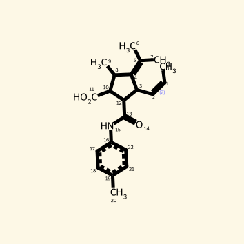 C/C=C\C1C(=C(C)C)C(C)C(C(=O)O)C1C(=O)Nc1ccc(C)cc1